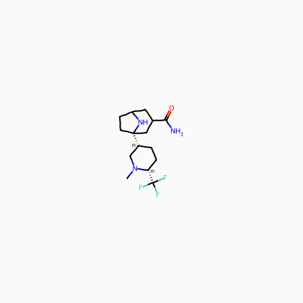 CN1C[C@H](C23CCC(CC(C(N)=O)C2)N3)CC[C@@H]1C(F)(F)F